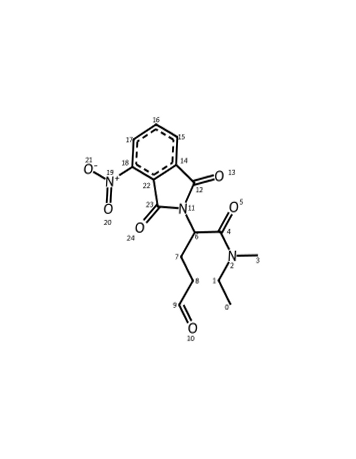 CCN(C)C(=O)C(CCC=O)N1C(=O)c2cccc([N+](=O)[O-])c2C1=O